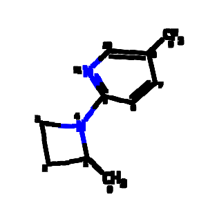 CC1CCN1c1ccc(C(F)(F)F)cn1